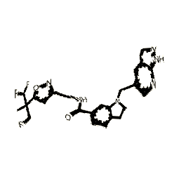 CC(CF)(c1cc(NC(=O)c2ccc3c(c2)N(Cc2cnc4[nH]ncc4c2)CC3)no1)C(F)F